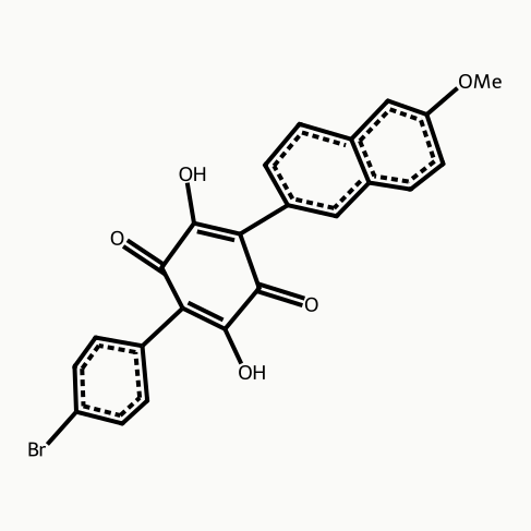 COc1ccc2cc(C3=C(O)C(=O)C(c4ccc(Br)cc4)=C(O)C3=O)ccc2c1